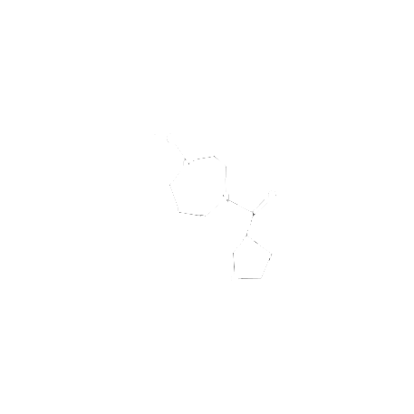 O=C(O)N1CCCN(C(=O)C2CCOC2)CC1